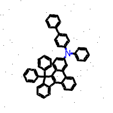 c1ccc(-c2ccc(N(c3ccccc3)c3ccc4c5c(c6ccccc6c4c3)-c3ccccc3C5(c3ccccc3)c3ccccc3)cc2)cc1